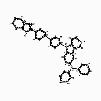 c1ccc(N(c2ccccc2)c2ccc3c(c2)c2cnccc2n3-c2ccc(-c3ccc(-c4nc5ccccc5s4)cc3)cc2)cc1